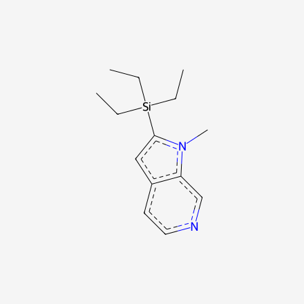 CC[Si](CC)(CC)c1cc2ccncc2n1C